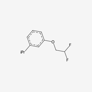 CC(C)c1cccc(OCC(F)F)c1